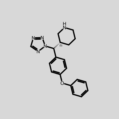 c1ccc(Oc2ccc(C([C@H]3CCCNC3)n3ncnn3)cc2)cc1